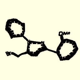 COc1ccccc1-c1cc(CBr)n(-c2ccccc2)n1